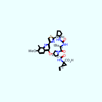 C=C[C@@H]1C[C@]1(NC(=O)[C@@H]1C[C@@H](Oc2cc(-c3csc(NC(C)=O)n3)nc3c(C)c(OC)ccc23)CN1C(=O)[C@@H](NC(=O)NC1CCCC1)C(C)(C)C)C(=O)O